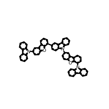 c1cc(-c2ccc3c(c2)c2ccccc2n3-c2ccc3oc4c(-n5c6ccccc6c6ccccc65)cccc4c3c2)c2oc3ccc(-n4c5ccccc5c5ccccc54)cc3c2c1